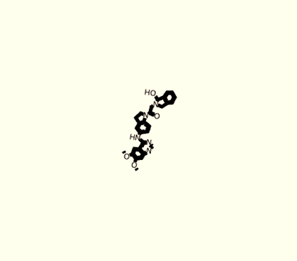 COc1cc2ncnc(Nc3ccc4c(c3)CCN4C(=O)CN3Cc4ccccc4C3O)c2cc1OC